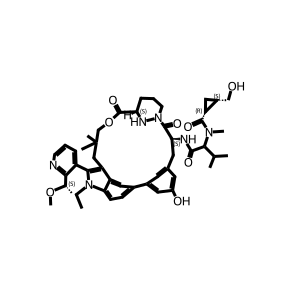 CCn1c(-c2cccnc2[C@H](C)OC)c2c3cc(ccc31)-c1cc(O)cc(c1)C[C@H](NC(=O)C(C(C)C)N(C)C(=O)[C@@H]1C[C@@H]1CO)C(=O)N1CCC[C@H](N1)C(=O)OCC(C)(C)C2